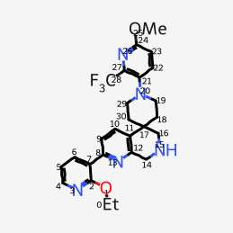 CCOc1ncccc1-c1ccc2c(n1)CNCC21CCN(c2ccc(OC)nc2C(F)(F)F)CC1